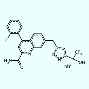 CCC[C@](O)(c1cn(Cc2ccc3c(-c4ccccc4F)cc(C(N)=O)nc3c2)nn1)C(F)(F)F